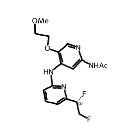 COCCOc1cnc(NC(C)=O)cc1Nc1cccc([C@H](F)CF)n1